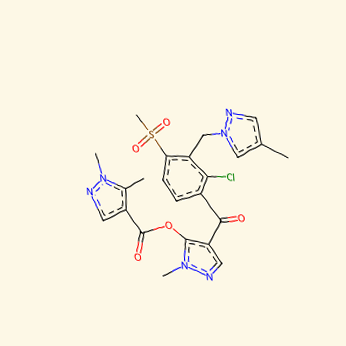 Cc1cnn(Cc2c(S(C)(=O)=O)ccc(C(=O)c3cnn(C)c3OC(=O)c3cnn(C)c3C)c2Cl)c1